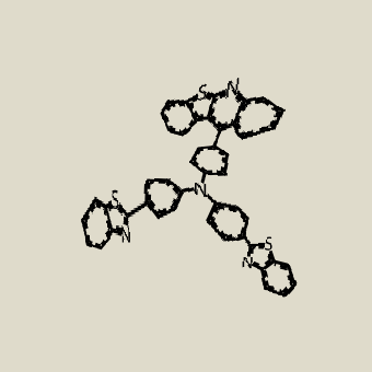 c1ccc2sc(-c3ccc(N(c4ccc(-c5nc6ccccc6s5)cc4)c4ccc(-c5c6ccccc6nc6sc7ccccc7c56)cc4)cc3)nc2c1